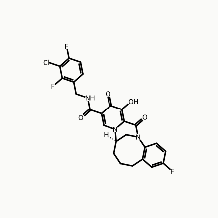 O=C(NCc1ccc(F)c(Cl)c1F)c1cn2c(c(O)c1=O)C(=O)N1C[C@H]2CCCc2cc(F)ccc21